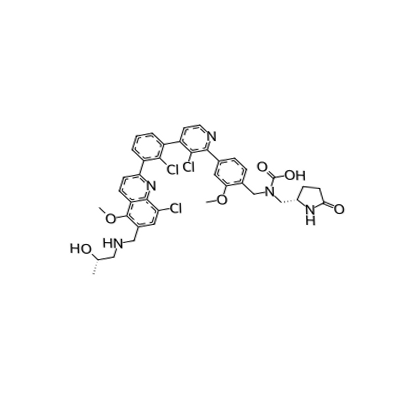 COc1cc(-c2nccc(-c3cccc(-c4ccc5c(OC)c(CNC[C@H](C)O)cc(Cl)c5n4)c3Cl)c2Cl)ccc1CN(C[C@@H]1CCC(=O)N1)C(=O)O